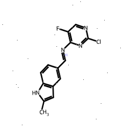 Cc1cc2cc(/C=N/c3nc(Cl)ncc3F)ccc2[nH]1